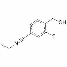 CC[N+]#Cc1ccc(CO)c(F)c1